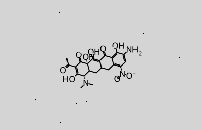 CC(=O)C1=C(O)[C@@H](N(C)C)C2CC3Cc4c([N+](=O)[O-])cc(N)c(O)c4C(=O)C3=C(O)[C@]2(O)C1=O